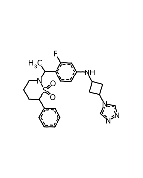 CC(c1ccc(NC2CC(n3cnnc3)C2)cc1F)N1CCCC(c2ccccc2)S1(=O)=O